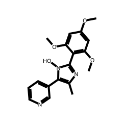 COc1cc(OC)c(-c2nc(C)c(-c3cccnc3)n2O)c(OC)c1